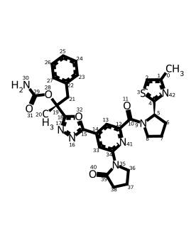 Cc1csc([C@H]2CCCN2C(=O)c2cc(-c3nnc([C@@](C)(Cc4ccccc4)OC(N)=O)o3)cc(N3CCCC3=O)n2)n1